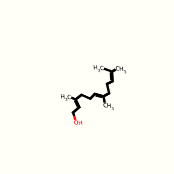 CC(C)=CCCC(C)=CCCC(C)=C[CH]O